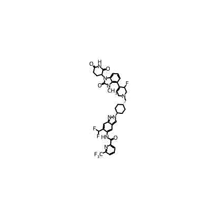 Cn1c(=O)n(C2CCC(=O)NC2=O)c2cccc(C3=CCN(C[C@H]4CC[C@H](n5cc6cc(NC(=O)c7cccc(C(F)(F)F)n7)c(C(F)F)cc6n5)CC4)CC3F)c21